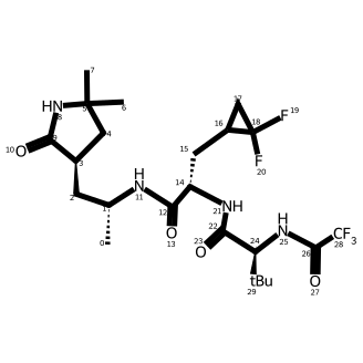 C[C@H](C[C@@H]1CC(C)(C)NC1=O)NC(=O)[C@H](CC1CC1(F)F)NC(=O)[C@@H](NC(=O)C(F)(F)F)C(C)(C)C